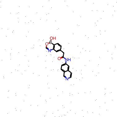 O=C(Cc1ccc2c(c1)N=COB2O)Nc1ccc2cnccc2c1